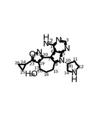 Nc1ncnc2c1c1c(n2[C@@H]2CCNC2)CC[C@H](O)c2c-1noc2C1CC1